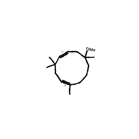 COC1(C)C/C=C\C(C)(C)C/C=C(/C)CCC1